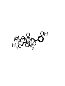 CCC(C)C1(C)C(=O)N(CC(=O)c2cccc(O)c2)C(=O)N1C